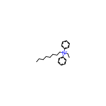 CCCCCCCC[N+](CC)(c1ccccc1)c1ccccc1